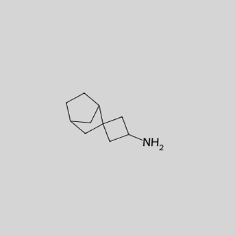 NC1CC2(C1)CC1CCC2C1